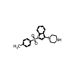 Cc1ccc(S(=O)(=O)n2cc(N3CCNCC3)c3ccccc32)cc1